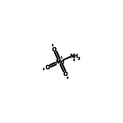 [NH2][Mn](=[O])(=[O])=[O]